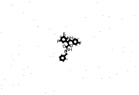 O=C(NOCc1ccccc1)C1Oc2cc(F)ccc2-c2[nH]c3c(F)cc(F)cc3c21